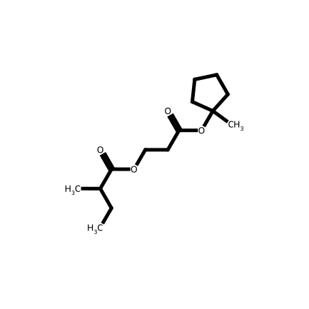 CCC(C)C(=O)OCCC(=O)OC1(C)CCCC1